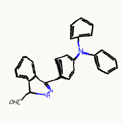 O=CC1NN=C(c2ccc(N(c3ccccc3)c3ccccc3)cc2)c2ccccc21